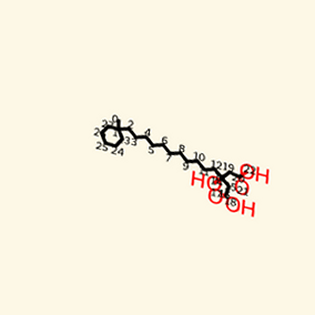 CC1(CCCCCCCCCCCC(O)(CC(=O)O)CC(=O)O)CCCCC1